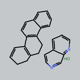 C1=CC2=C(CC1)CCc1c2ccc2ccccc12.Cl.c1cnc2cnccc2c1